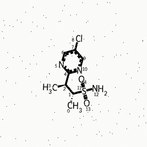 C[C@H]([C@@H](C)c1ncc(Cl)cn1)S(N)(=O)=O